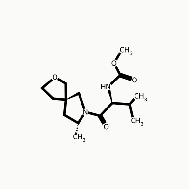 COC(=O)N[C@H](C(=O)N1C[C@]2(CCOC2)C[C@H]1C)C(C)C